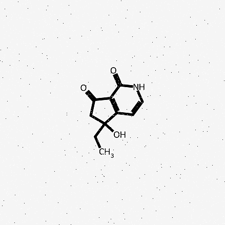 CCC1(O)CC(=O)c2c1cc[nH]c2=O